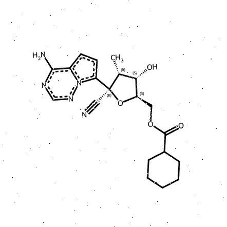 C[C@@H]1[C@H](O)[C@@H](COC(=O)C2CCCCC2)O[C@@]1(C#N)c1ccc2c(N)ncnn12